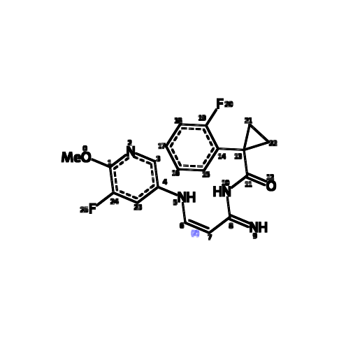 COc1ncc(N/C=C\C(=N)NC(=O)C2(c3ccccc3F)CC2)cc1F